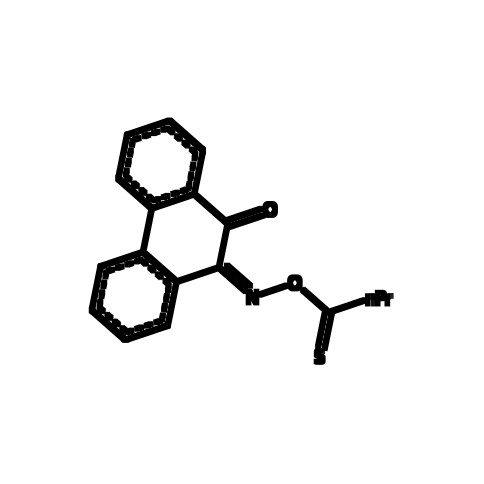 CCCC(=S)ON=C1C(=O)c2ccccc2-c2ccccc21